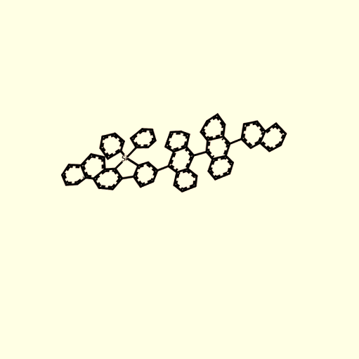 c1ccc([Si]2(c3ccccc3)c3cc(-c4c5ccccc5c(-c5c6ccccc6c(-c6ccc7ccccc7c6)c6ccccc56)c5ccccc45)ccc3-c3ccc4c(ccc5ccccc54)c32)cc1